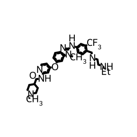 CCNCCNCc1ccc(Nc2nc3ccc(Oc4ccnc(NC(=O)C5CCN(C)CC5)c4)cc3n2C)cc1C(F)(F)F